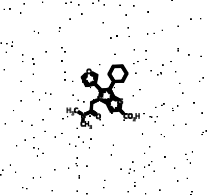 CN(C)C(=O)Cn1c(-c2ccoc2)c(C2CCCCC2)c2sc(C(=O)O)cc21